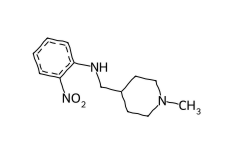 CN1CCC(CNc2ccccc2[N+](=O)[O-])CC1